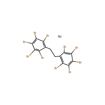 Brc1c(Br)c(Br)c(CCc2c(Br)c(Br)c(Br)c(Br)c2Br)c(Br)c1Br.[Sb]